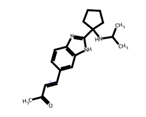 CC(=O)/C=C/c1ccc2nc(C3(NC(C)C)CCCC3)[nH]c2c1